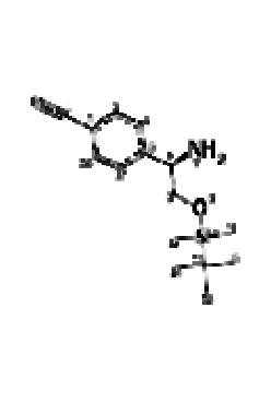 C#Cc1ccc([C@@H](N)CO[Si](C)(C)C(C)(C)C)cc1